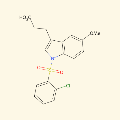 COc1ccc2c(c1)c(CCC(=O)O)cn2S(=O)(=O)c1ccccc1Cl